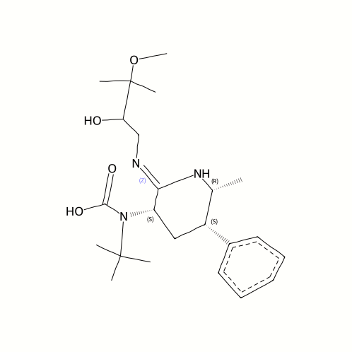 COC(C)(C)C(O)C/N=C1\N[C@H](C)[C@H](c2ccccc2)C[C@@H]1N(C(=O)O)C(C)(C)C